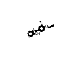 C#CCOc1ccc(-c2nc3cnncc3[nH]2)cc1OC